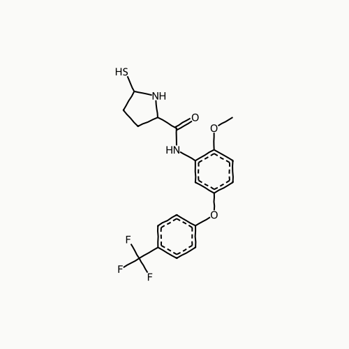 COc1ccc(Oc2ccc(C(F)(F)F)cc2)cc1NC(=O)C1CCC(S)N1